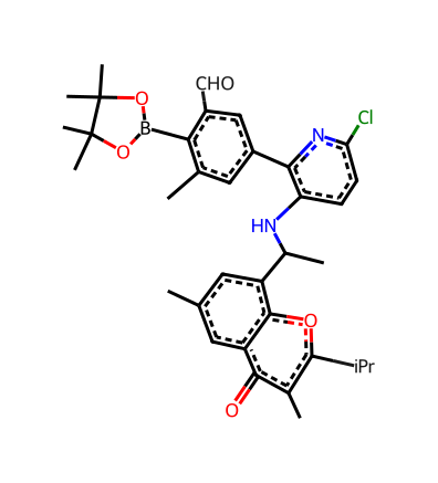 Cc1cc(C(C)Nc2ccc(Cl)nc2-c2cc(C)c(B3OC(C)(C)C(C)(C)O3)c(C=O)c2)c2oc(C(C)C)c(C)c(=O)c2c1